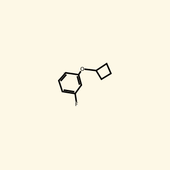 Fc1cc[c]c(OC2CCC2)c1